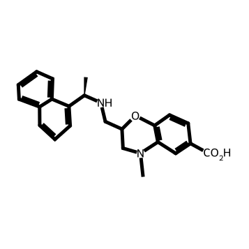 C[C@@H](NCC1CN(C)c2cc(C(=O)O)ccc2O1)c1cccc2ccccc12